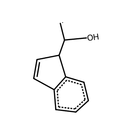 [CH2]C(O)C1C=Cc2ccccc21